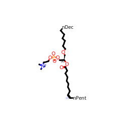 CCCCC/C=C\CCCCCCCC(=O)O[C@H](COCCCCCCCCCCCCCCCC)COP(=O)([O-])OCC[N+](C)(C)C